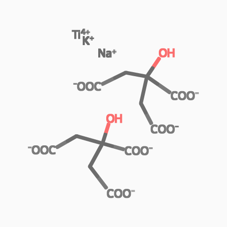 O=C([O-])CC(O)(CC(=O)[O-])C(=O)[O-].O=C([O-])CC(O)(CC(=O)[O-])C(=O)[O-].[K+].[Na+].[Ti+4]